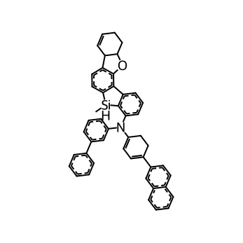 C[SiH]1c2ccc3c(c2-c2cccc(N(C4=CC=C(c5ccc6ccccc6c5)CC4)c4cccc(-c5ccccc5)c4)c21)OC1CCC=CC31